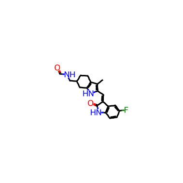 Cc1c(/C=C2\C(=O)Nc3ccc(F)cc32)[nH]c2c1CCC(CNC=O)C2